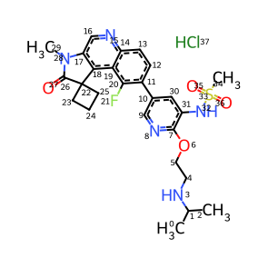 CC(C)NCCOc1ncc(-c2ccc3ncc4c(c3c2F)C2(CCC2)C(=O)N4C)cc1NS(C)(=O)=O.Cl